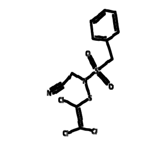 N#CCN(SC(Cl)=C(Cl)Cl)S(=O)(=O)Cc1ccccc1